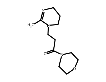 CC1=NCCCN1CCC(=O)N1CCOCC1